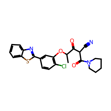 CC(Oc1cc(-c2nc3ccccc3s2)ccc1Cl)C(=O)C(C#N)C(=O)N1CCCCC1